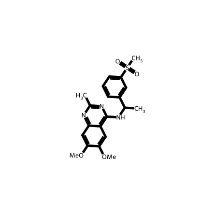 COc1cc2nc(C)nc(NC(C)c3cccc(S(C)(=O)=O)c3)c2cc1OC